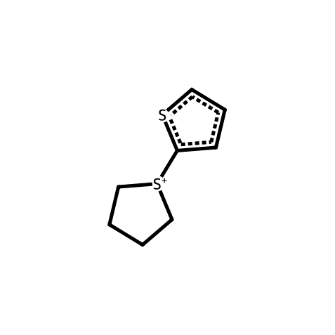 c1csc([S+]2CCCC2)c1